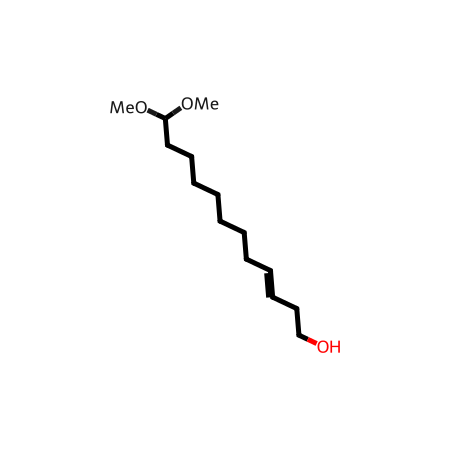 COC(CCCCCCC/C=C/CCO)OC